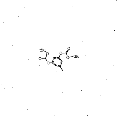 [CH2]c1cc(OC(=O)OC(C)(C)C)cc(OC(=O)OC(C)(C)C)c1